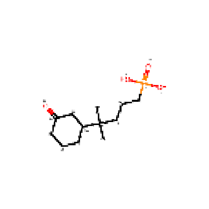 CC(C)(CCCP(=O)(O)O)C1CCCC(=O)C1